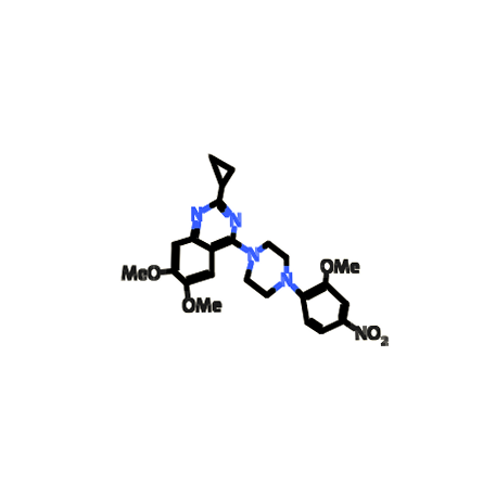 COc1cc2nc(C3CC3)nc(N3CCN(c4ccc([N+](=O)[O-])cc4OC)CC3)c2cc1OC